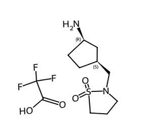 N[C@@H]1CC[C@H](CN2CCCS2(=O)=O)C1.O=C(O)C(F)(F)F